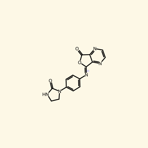 O=C1O/C(=N\c2ccc(N3CCNC3=O)cc2)c2nccnc21